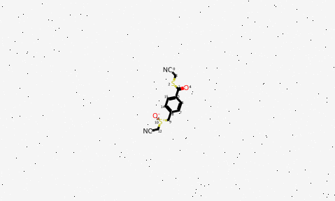 N#CCSC(=O)c1ccc(C[S+]([O-])CC#N)cc1